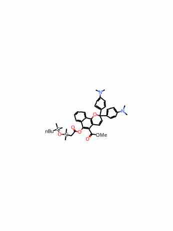 CCCC[Si](C)(C)O[Si](C)(C)CC(=O)Oc1c(C(=O)OC)c2c(c3ccccc13)OC(c1ccc(N(C)C)cc1)(c1ccc(N(C)C)cc1)C=C2